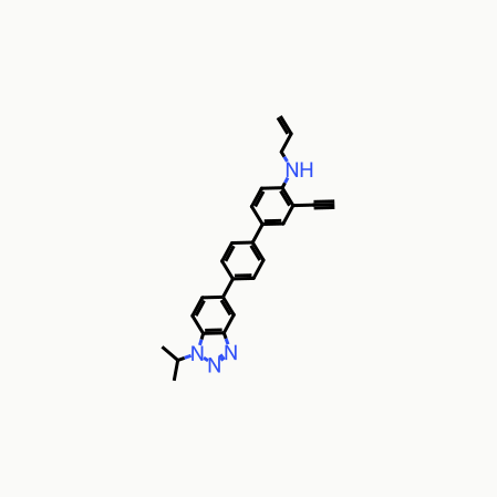 C#Cc1cc(-c2ccc(-c3ccc4c(c3)nnn4C(C)C)cc2)ccc1NCC=C